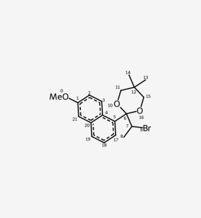 COc1ccc2c(C3(C(C)Br)OCC(C)(C)CO3)cccc2c1